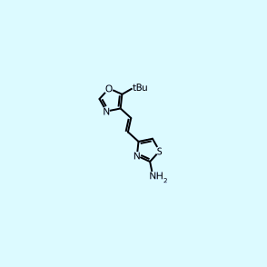 CC(C)(C)c1ocnc1C=Cc1csc(N)n1